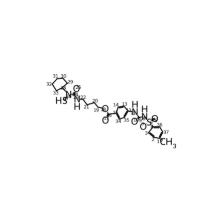 Cc1ccc(S(=O)(=O)NC(=O)Nc2ccc(C(=O)OCCCCNC(=O)N(S)C3CCCCC3)cc2)cc1